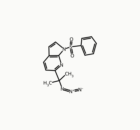 CC(C)(N=[N+]=[N-])c1ccc2ccn(S(=O)(=O)c3ccccc3)c2n1